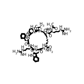 CC(=O)N[C@@H](CCCNC(=N)N)C(=O)N[C@H]1CSSC[C@@H](C(N)=O)NC(=O)[C@H](Cc2c[nH]c3ccccc23)NC(=O)[C@H](CCCNC(=N)N)NC(=O)[C@@H](Cc2ccccc2)NC(=O)[C@@H]2CCCN2C(=O)[C@@H](C(C)C)NC1=O